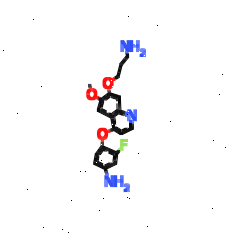 COc1cc2c(Oc3ccc(N)cc3F)ccnc2cc1OCCCN